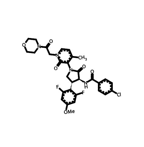 COc1cc(F)c([C@@H]2CN(c3c(C)ccn(CC(=O)N4CCOCC4)c3=O)C(=O)[C@H]2NC(=O)c2ccc(Cl)cc2)c(F)c1